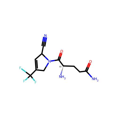 N#CC1C=C(C(F)(F)F)CN1C(=O)[C@@H](N)CCC(N)=O